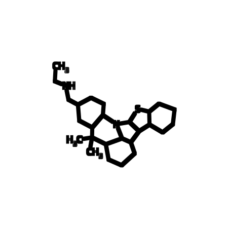 CCNCC1CCC2C(C1)C(C)(C)C1CCCC3C4C5CCCCC5SC4N2C31